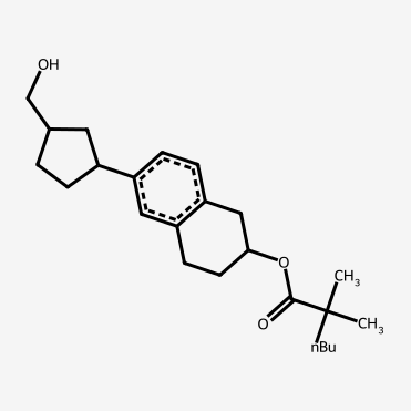 CCCCC(C)(C)C(=O)OC1CCc2cc(C3CCC(CO)C3)ccc2C1